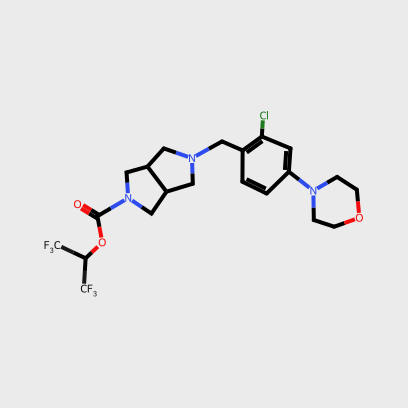 O=C(OC(C(F)(F)F)C(F)(F)F)N1CC2CN(Cc3ccc(N4CCOCC4)cc3Cl)CC2C1